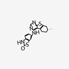 C[C@@H]1CCc2c(sc3ncnc(Nc4ccc5[nH]c(=O)sc5c4)c23)C1